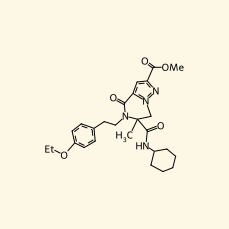 CCOc1ccc(CCN2C(=O)c3cc(C(=O)OC)nn3CC2(C)C(=O)NC2CCCCC2)cc1